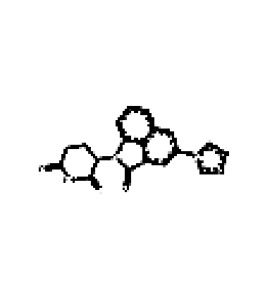 O=C1CCC(N2C(=O)c3cc(-n4ccnc4)cc4cccc2c34)C(=O)N1